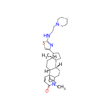 CN1C(=O)C=C[C@@]2(C)C1CC[C@@H]1[C@H]2CC[C@]2(C)C(c3csc(NCCN4CCCCC4)n3)CC[C@@H]12